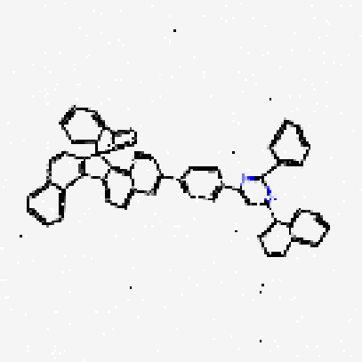 c1ccc(-c2nc(-c3ccc(-c4ccc5c6c(ccc5c4)-c4c(ccc5ccccc45)C64c5ccccc5-c5ccccc54)cc3)cc(-c3cccc4ccccc34)n2)cc1